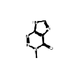 Cn1nnc2[nH]cnc2c1=O